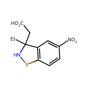 CCC1(CC(=O)O)NSc2ccc([N+](=O)[O-])cc21